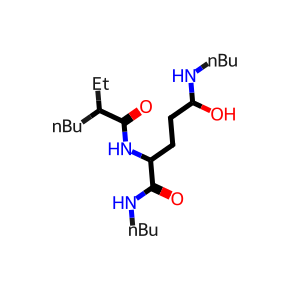 CCCCNC(=O)C(CCC(O)NCCCC)NC(=O)C(CC)CCCC